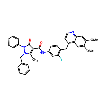 COc1cc2nccc(Cc3ccc(NC(=O)c4c(C)n(Cc5ccccc5)n(-c5ccccc5)c4=O)cc3F)c2cc1OC